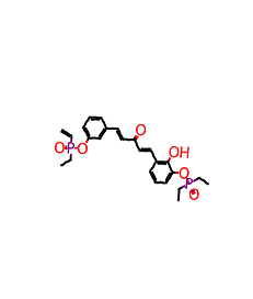 C=CP(=O)(CC)Oc1cccc(/C=C/C(=O)/C=C/c2cccc(OP(=O)(CC)CC)c2O)c1